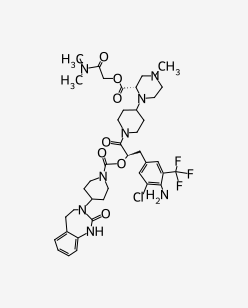 CN1CCN(C2CCN(C(=O)[C@@H](Cc3cc(Cl)c(N)c(C(F)(F)F)c3)OC(=O)N3CCC(N4CCc5ccccc5NC4=O)CC3)CC2)[C@H](C(=O)OCC(=O)N(C)C)C1